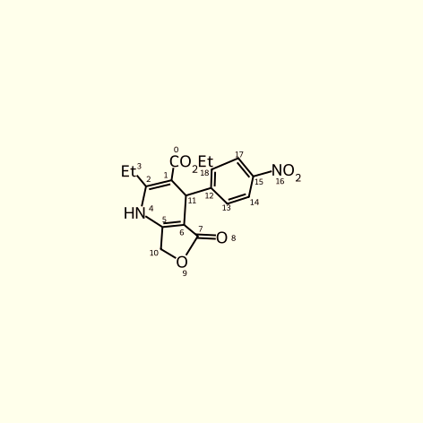 CCOC(=O)C1=C(CC)NC2=C(C(=O)OC2)C1c1ccc([N+](=O)[O-])cc1